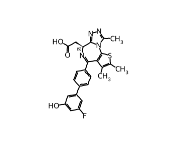 Cc1sc2c(c1C)C(c1ccc(-c3cc(O)cc(F)c3)cc1)=N[C@@H](CC(=O)O)c1nnc(C)n1-2